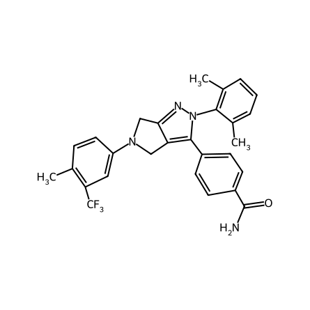 Cc1ccc(N2Cc3nn(-c4c(C)cccc4C)c(-c4ccc(C(N)=O)cc4)c3C2)cc1C(F)(F)F